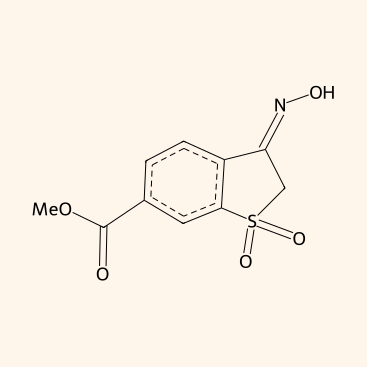 COC(=O)c1ccc2c(c1)S(=O)(=O)C/C2=N\O